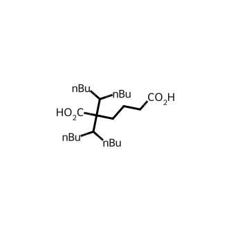 CCCCC(CCCC)C(CCCC(=O)O)(C(=O)O)C(CCCC)CCCC